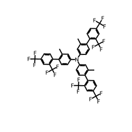 Cc1cc(N(c2ccc(-c3ccc(C(F)(F)F)cc3C(F)(F)F)c(C)c2)c2ccc(-c3ccc(C(F)(F)F)cc3C(F)(F)F)c(C)c2)ccc1-c1ccc(C(F)(F)F)cc1C(F)(F)F